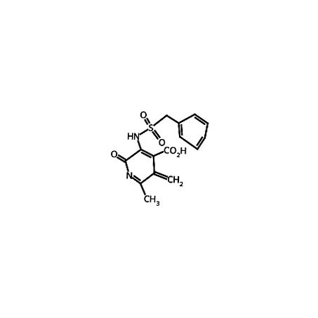 C=C1C(C)=NC(=O)C(NS(=O)(=O)Cc2ccccc2)=C1C(=O)O